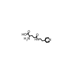 NC(CCC(=O)NCCc1ccncc1)C(=O)O